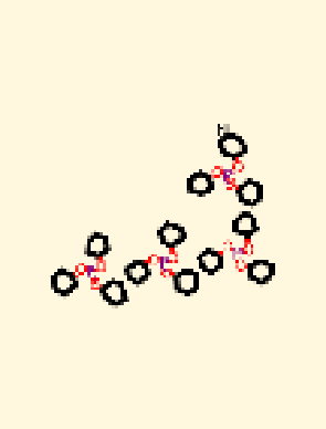 C1CCC(OP(OC2CCCCC2)OC2CCCCC2)CC1.C1CCC(OP(OC2CCCCC2)OC2CCCCC2)CC1.C1CCC(OP(OC2CCCCC2)OC2CCCCC2)CC1.C1CCC(OP(OC2CCCCC2)OC2CCCCC2)CC1.[Ni]